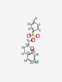 Cc1ccc(S(=O)(=O)OCC2CCc3ccc(F)cc3O2)cc1